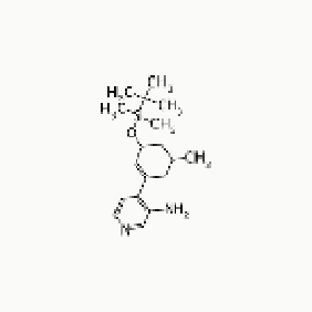 CC1CC(c2ccncc2N)=CC(O[Si](C)(C)C(C)(C)C)C1